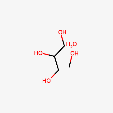 CO.O.OCC(O)CO